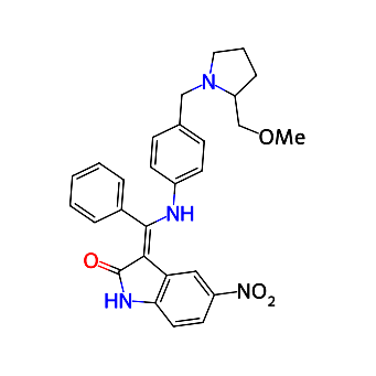 COCC1CCCN1Cc1ccc(NC(=C2C(=O)Nc3ccc([N+](=O)[O-])cc32)c2ccccc2)cc1